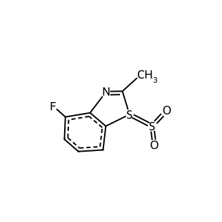 CC1=Nc2c(F)cccc2S1=S(=O)=O